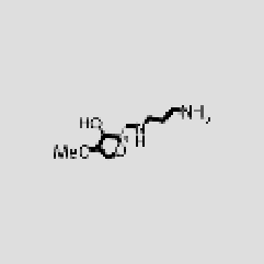 COC1CO[C@@H](CNCCCN)[C@H]1O